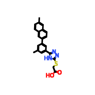 Cc1cc(-c2ccc3cc(C)ccc3c2)cc(-c2nnc(SCC(=O)O)[nH]2)c1